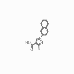 Cc1nn(-c2ccc3ccccc3c2)cc1C(=O)O